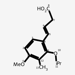 COc1ccc(/C=C/CC(=O)O)c(OC(C)C)c1C